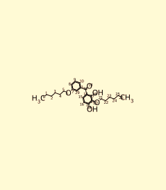 CCCCCCOc1cccc(C(=O)c2ccc(O)c(OCCCCCC)c2O)c1